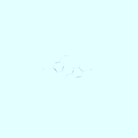 COc1cc(C(C)c2ccc(OC)c(O)c2O)cc(C)c1C